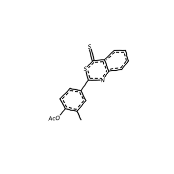 CC(=O)Oc1ccc(-c2nc3ccccc3c(=S)s2)cc1C